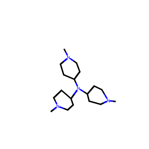 CN1CCC(N(C2CCN(C)CC2)C2CCN(C)CC2)CC1